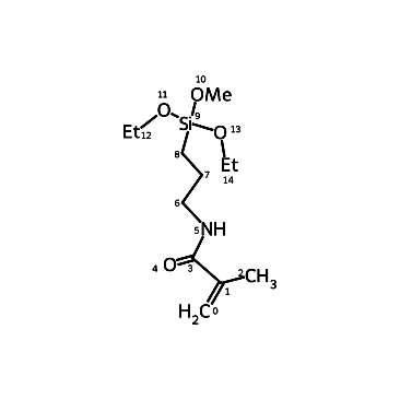 C=C(C)C(=O)NCCC[Si](OC)(OCC)OCC